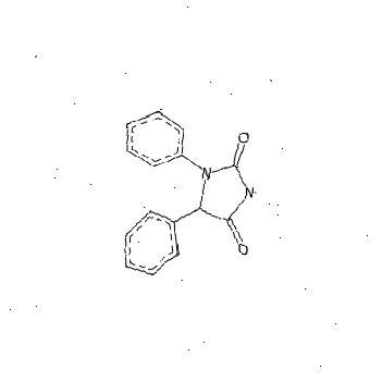 O=C1[N]C(=O)N(c2ccccc2)C1c1ccccc1